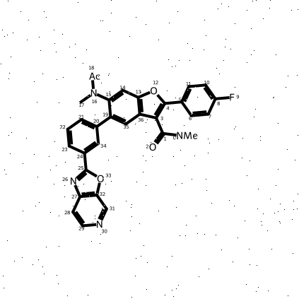 CNC(=O)c1c(-c2ccc(F)cc2)oc2cc(N(C)C(C)=O)c(-c3cccc(-c4nc5ccncc5o4)c3)cc12